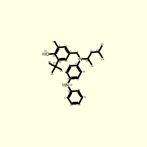 Cc1cc(CN(c2ccc(Nc3ccccc3)cc2)C(C)CC(C)C)cc(C(C)(C)C)c1O